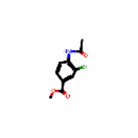 COC(=O)c1ccc(NC(C)=O)c(Br)c1